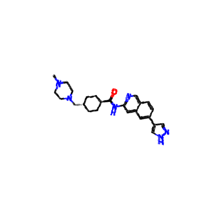 CN1CCN(C[C@H]2CC[C@H](C(=O)Nc3cc4cc(-c5cn[nH]c5)ccc4cn3)CC2)CC1